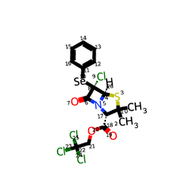 CC1(C)S[C@H]2N(C(=O)[C@@]2(Cl)[Se]c2ccccc2)[C@H]1C(=O)OCC(Cl)(Cl)Cl